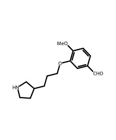 COc1ccc(C=O)cc1OCCCC1CCNC1